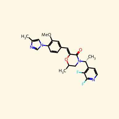 COc1cc(C=C2OC(C)CN([C@H](C)c3ccnc(F)c3F)C2=O)ccc1-n1cnc(C)c1